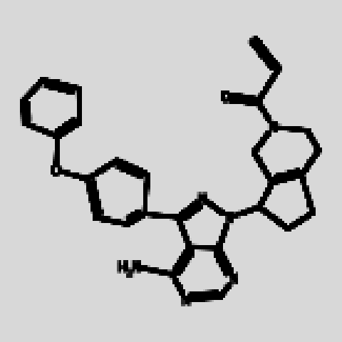 C=CC(=O)N1CCC2=C(C1)C(n1nc(-c3ccc(Oc4ccccc4)cc3)c3c(N)ncnc31)CC2